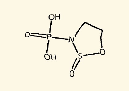 O=S1OCCN1P(=O)(O)O